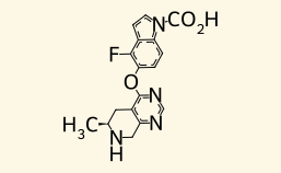 C[C@H]1Cc2c(ncnc2Oc2ccc3c(ccn3C(=O)O)c2F)CN1